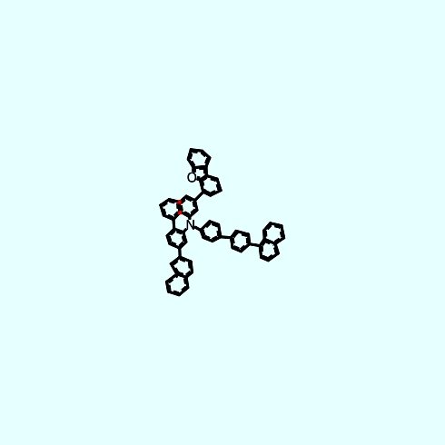 c1ccc(-c2ccc(-c3ccc4ccccc4c3)cc2N(c2ccc(-c3ccc(-c4cccc5ccccc45)cc3)cc2)c2cccc(-c3cccc4c3oc3ccccc34)c2)cc1